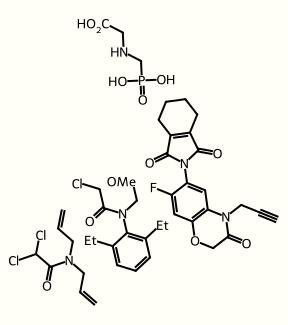 C#CCN1C(=O)COc2cc(F)c(N3C(=O)C4=C(CCCC4)C3=O)cc21.C=CCN(CC=C)C(=O)C(Cl)Cl.CCc1cccc(CC)c1N(COC)C(=O)CCl.O=C(O)CNCP(=O)(O)O